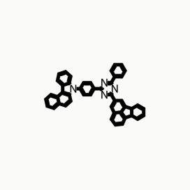 C1=CC2c3cccc4cc(-c5nc(-c6ccccc6)nc(-c6ccc(-n7c8ccccc8c8c9ccccc9ccc87)cc6)n5)cc(c34)C2C=C1